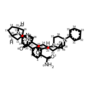 NC(=O)c1ccc(C(=O)N[C@H]2C[C@H]3CC[C@@H](C2)N3c2ccc(C(=O)CCN3CCN(c4ccccc4)CC3)cn2)cc1NCC1CC1